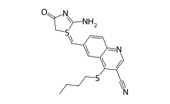 CCCCSc1c(C#N)cnc2ccc(/C=S3/CC(=O)N=C3N)cc12